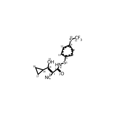 N#CC(C(=O)NSc1ccc(SC(F)(F)F)cc1)=C(O)C1CC1